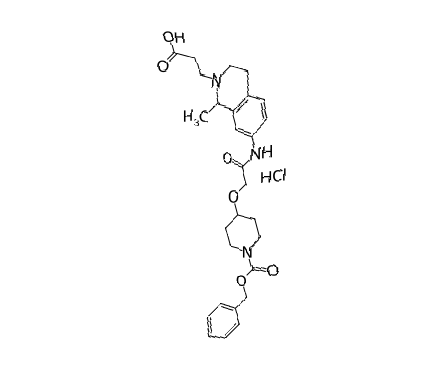 CC1c2cc(NC(=O)COC3CCN(C(=O)OCc4ccccc4)CC3)ccc2CCN1CCC(=O)O.Cl